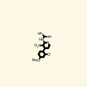 CCCC(CCC)Nc1nccc(-c2ccc(OC)cc2Cl)c1[N+](=O)[O-]